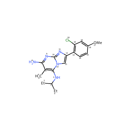 CCC(CC)Nc1c(C)c(N)nc2nc(-c3ccc(OC)cc3Cl)cn12